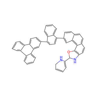 C1=CCNC(C2Nc3ccc4ccc5ccc(-c6ccc(-c7ccc8c9ccccc9c9ccccc9c8c7)c7ccccc67)cc5c4c3O2)=C1